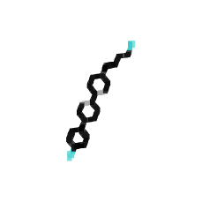 FCCC=C[C@H]1CC[C@H]([C@H]2CC[C@H](c3ccc(F)cc3)CC2)CC1